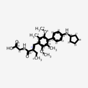 CC/C(=C\c1c(C)c(OC)c(-c2ccc(NC3CCCC3)cc2)c(C)c1OC)C(=O)NCC(=O)O